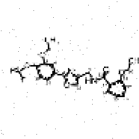 CCOc1cc(-c2nc(CNC(=O)c3ccccc3OCC)co2)ccc1OC(F)F